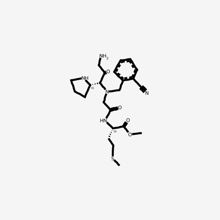 COC(=O)[C@H](CCSC)NC(=O)CN(Cc1ccccc1C#N)C(C(=O)CN)[C@@H]1CCCN1